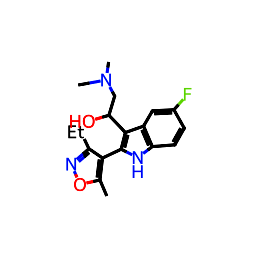 CCc1noc(C)c1-c1[nH]c2ccc(F)cc2c1C(O)CN(C)C